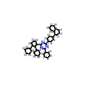 c1ccc(-c2nc(-c3ccc(-c4cccc5ccccc45)cc3)nc(-c3cccc(-c4ccccc4)c3-c3ccccc3)n2)cc1